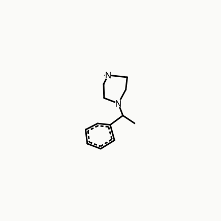 CC(c1ccccc1)N1CC[N]CC1